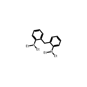 CCN(CC)c1ccccc1Cc1ccccc1N(CC)CC